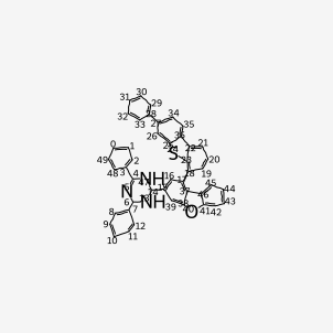 c1ccc(C2=NC(c3ccccc3)NC(c3cc(-c4cccc5c4sc4cc(-c6ccccc6)ccc45)c4c(c3)oc3ccccc34)N2)cc1